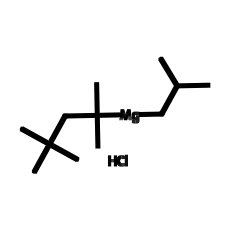 CC(C)[CH2][Mg][C](C)(C)CC(C)(C)C.Cl